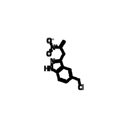 C=C(Cc1n[nH]c2ccc(CCl)cc12)[N+](=O)[O-]